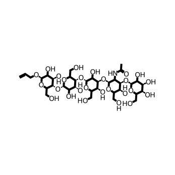 C=CCO[C@@H]1OC(CO)[C@@H](O[C@@H]2OC(CO)[C@H](O[C@H]3OC(CO)[C@H](O)[C@H](O[C@@H]4OC(CO)[C@H](O)[C@H](O[C@@H]5OC(CO)[C@H](O)[C@H](O)C5O)C4NC(C)=O)C3O)[C@H](O)C2O)[C@H](O)C1O